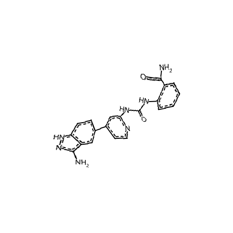 NC(=O)c1ccccc1NC(=O)Nc1cc(-c2ccc3[nH]nc(N)c3c2)ccn1